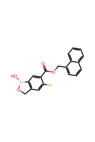 O=C(OCc1cccc2ccccc12)c1cc2c(cc1F)COB2O